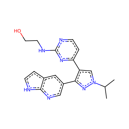 CC(C)n1cc(-c2ccnc(NCCO)n2)c(-c2cnc3[nH]ccc3c2)n1